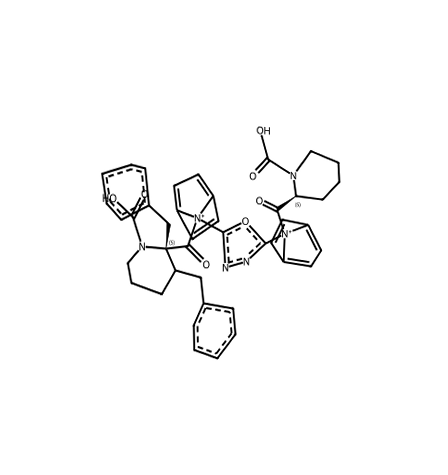 O=C(O)N1CCCC[C@H]1C(=O)[N+]1(c2nnc([N+]3(C(=O)[C@]4(Cc5ccccc5)C(Cc5ccccc5)CCCN4C(=O)O)C4=CC=C3C=C4)o2)C2=CC=C1C=C2